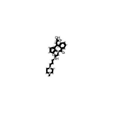 CN1CCN(CCCNC(=O)CN2C(=O)c3ccccc3C(CC(=O)O)c3ccccc32)CC1